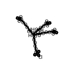 O=C(CCOCC(COCCC(=O)NCCOCCOCCOCCON1C(=O)c2ccccc2C1=O)(COCCC(=O)NCCOCCOCCON1C(=O)c2ccccc2C1=O)NC(=O)CCOCCOCCOCCOCCOC(c1ccccc1)(c1ccccc1)c1ccc(Cl)cc1)NCCOCCOCCOCCON1C(=O)c2ccccc2C1=O